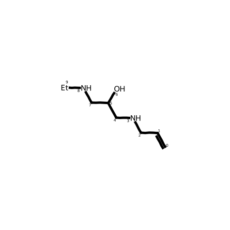 C=CCNCC(O)CNCC